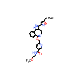 COCc1cc(C2=NN=C3c4ccccc4/C(OCc4ccc(C(=O)NCCOC(F)(F)F)cn4)=N\CCC23)no1